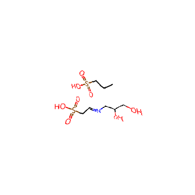 CCCS(=O)(=O)O.O=S(=O)(O)CC=NCC(O)CO